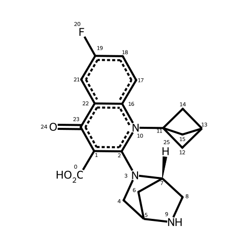 O=C(O)c1c(N2CC3C[C@H]2CN3)n(C23CC(C2)C3)c2ccc(F)cc2c1=O